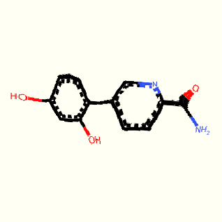 NC(=O)c1ccc(-c2ccc(O)cc2O)cn1